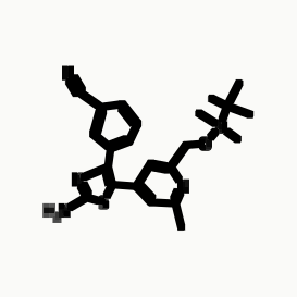 Cc1cc(-c2sc(N)nc2-c2cccc(C#N)c2)cc(CO[Si](C)(C)C(C)(C)C)n1